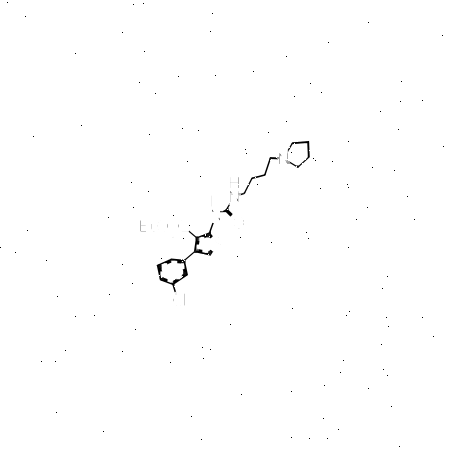 CCOC(=O)c1c(-c2cccc(Cl)c2)csc1NC(=O)NCCCCN1CCCC1